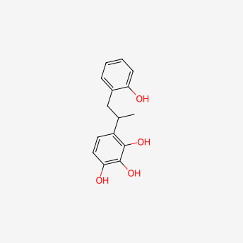 CC(Cc1ccccc1O)c1ccc(O)c(O)c1O